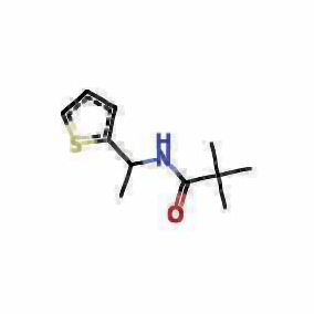 CC(NC(=O)C(C)(C)C)c1cccs1